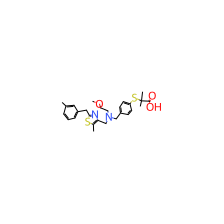 COCCN(Cc1ccc(SC(C)(C)C(=O)O)cc1)Cc1nc(Cc2cccc(C)c2)sc1C